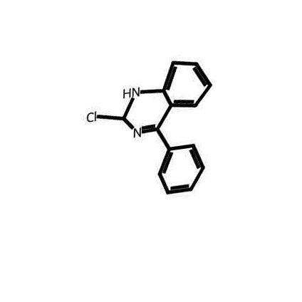 ClC1N=C(c2ccccc2)c2ccccc2N1